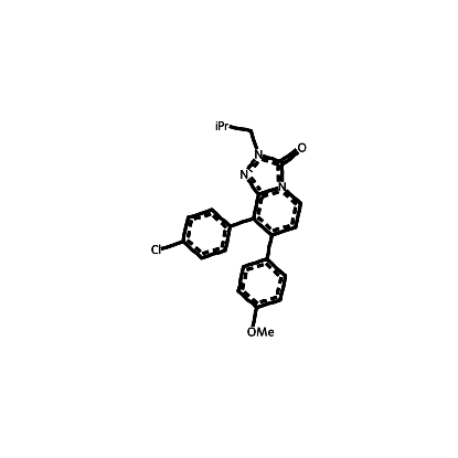 COc1ccc(-c2ccn3c(=O)n(CC(C)C)nc3c2-c2ccc(Cl)cc2)cc1